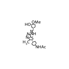 COc1ccc(C=NNc2ncnc3c(C)c(-c4ccc(NC(C)=O)cc4)sc23)cc1O